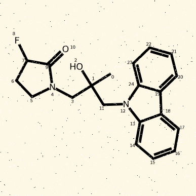 CC(O)(CN1CCC(F)C1=O)Cn1c2ccccc2c2ccccc21